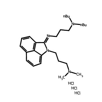 CCCCN(CCCC)CCCN=C1c2cccc3cccc(c23)N1CCCN(C)C.Cl.Cl.Cl